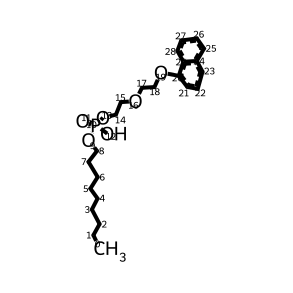 CCCCCCCCCOP(=O)(O)OCCOCCOc1cccc2ccccc12